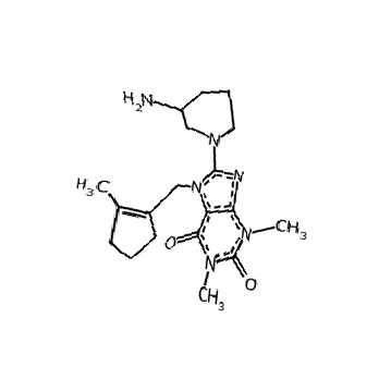 CC1=C(Cn2c(N3CCCC(N)C3)nc3c2c(=O)n(C)c(=O)n3C)CCC1